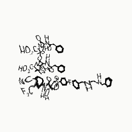 CC(O)(CS(=O)(=O)c1ccc(F)cc1)C(=O)Nc1ccc(C#N)c(C(F)(F)F)c1.CC1(C)S[C@@H]2[C@H](NC(=O)Cc3ccccc3)C(=O)N2[C@H]1C(=O)O.CC1(C)S[C@@H]2[C@H](NC(=O)Cc3ccccc3)C(=O)N2[C@H]1C(=O)O.c1ccc(CNCCNCc2ccccc2)cc1